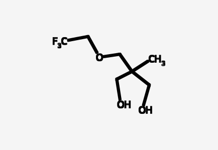 CC(CO)(CO)COCC(F)(F)F